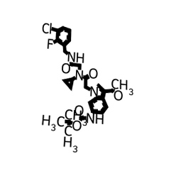 CC(=O)c1cn(CC(=O)N(CC(=O)NCc2cccc(Cl)c2F)C2CC2)c2cc(NC(=O)OC(C)(C)C)ccc12